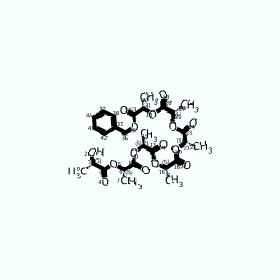 C[C@H](O)C(=O)O[C@@H](C)C(=O)O[C@@H](C)C(=O)O[C@@H](C)C(=O)O[C@@H](C)C(=O)O[C@@H](C)C(=O)O[C@@H](C)C(=O)OCc1ccccc1